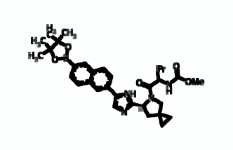 COC(=O)NC(C(=O)N1CC2(CC2)C[C@H]1c1ncc(-c2ccc3cc(B4OC(C)(C)C(C)(C)O4)ccc3c2)[nH]1)C(C)C